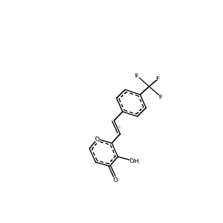 O=c1ccoc(/C=C/c2ccc(C(F)(F)F)cc2)c1O